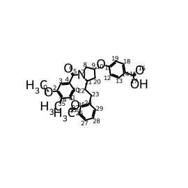 COc1cc(C(=O)N2C[C@@H](Oc3ccc(C(=O)O)cc3)CC2CCc2ccccc2)cc(OC)c1C